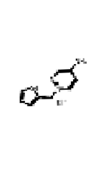 Nc1cc[n+](Cc2ccc[se]2)nc1.[Cl-]